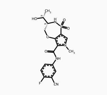 C[C@@H](O)[C@H]1COc2c(cn(C)c2C(=O)Nc2ccc(F)c(C#N)c2)S(=O)(=O)N1